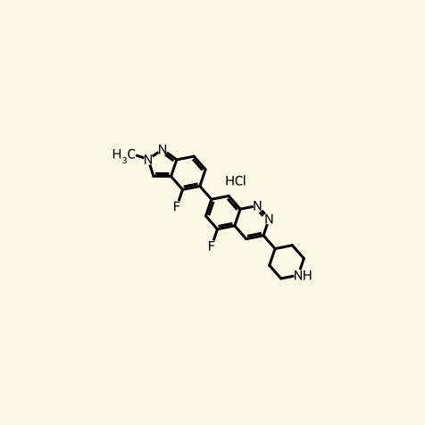 Cl.Cn1cc2c(F)c(-c3cc(F)c4cc(C5CCNCC5)nnc4c3)ccc2n1